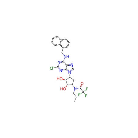 CCCN(C(=O)C(F)(F)F)[C@H]1C[C@@H](n2cnc3c(NCc4cccc5ccccc45)nc(Cl)nc32)[C@H](O)[C@@H]1O